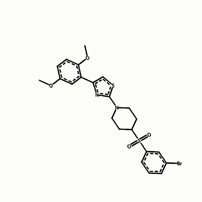 COc1ccc(OC)c(-c2csc(N3CCC(S(=O)(=O)c4cccc(Br)c4)CC3)n2)c1